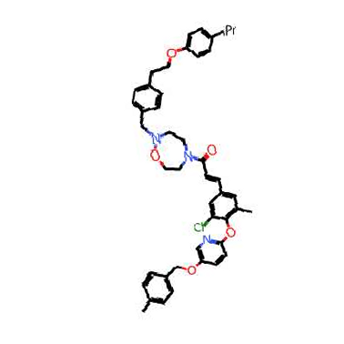 Cc1ccc(COc2ccc(Oc3c(C)cc(/C=C/C(=O)N4CCON(Cc5ccc(CCOc6ccc(C(C)C)cc6)cc5)CC4)cc3Cl)nc2)cc1